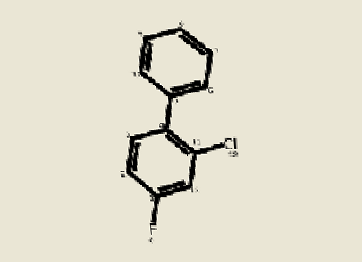 Fc1ccc(-c2c[c]ccc2)c(Cl)c1